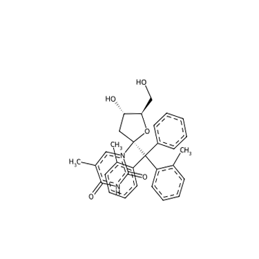 Cc1ccccc1C(c1ccccc1)(c1ccccc1C)[C@]1(n2cc(C)c(=O)[nH]c2=O)C[C@H](O)[C@@H](CO)O1